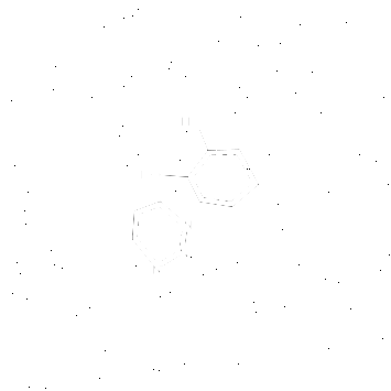 Oc1ccccc1O.c1cnnnc1